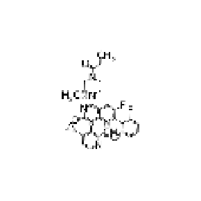 C=CC(=O)N1CCN(c2nc(=O)n(-c3c(C4CC4)ccnc3C)c3nc(-c4c(O)cccc4F)c(F)cc23)[C@@H](C)C1